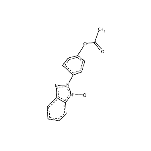 CC(=O)Oc1ccc(-n2nc3ccccc3[n+]2[O-])cc1